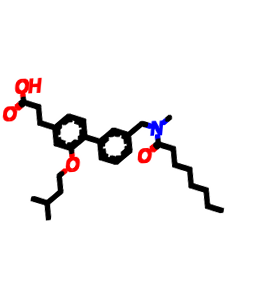 CCCCCCCC(=O)N(C)Cc1cccc(-c2ccc(CCC(=O)O)cc2OCCC(C)C)c1